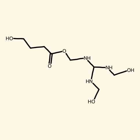 O=C(CCCO)OCNC(NCO)NCO